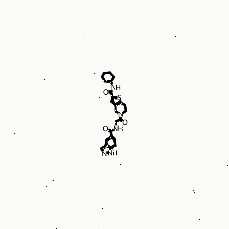 O=C(NCC(=O)N1CCc2sc(C(=O)NC3CCCCC3)cc2C1)c1ccc2[nH]ncc2c1